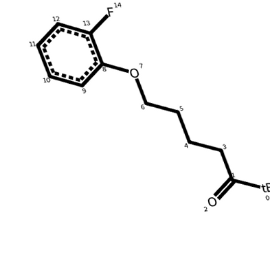 CC(C)(C)C(=O)CCCCOc1ccccc1F